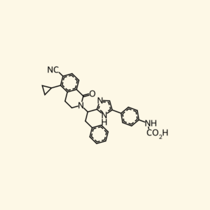 N#Cc1ccc2c(c1C1CC1)CCN(C(Cc1ccccc1)c1ncc(-c3ccc(NC(=O)O)cc3)[nH]1)C2=O